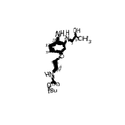 C[C@H](O)CNc1cc(OCCNC(=O)OC(C)(C)C)ccc1N